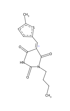 CCCCN1C(=O)NC(=O)/C(=C\c2ccc(C)s2)C1=O